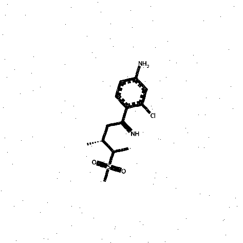 [CH2]C([C@H](C)CC(=N)c1ccc(N)cc1Cl)S(C)(=O)=O